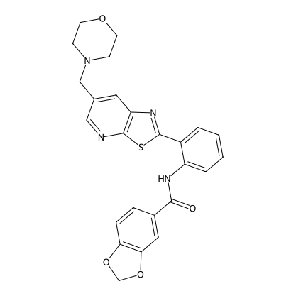 O=C(Nc1ccccc1-c1nc2cc(CN3CCOCC3)cnc2s1)c1ccc2c(c1)OCO2